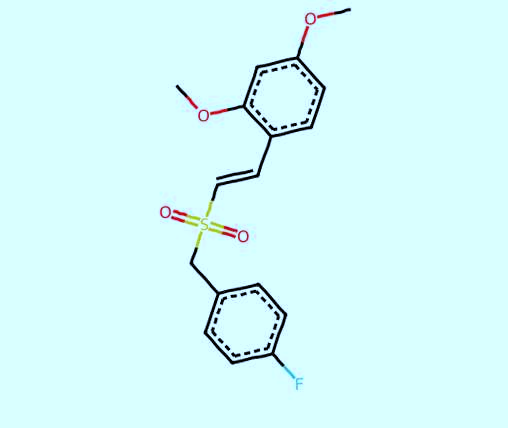 COc1ccc(C=CS(=O)(=O)Cc2ccc(F)cc2)c(OC)c1